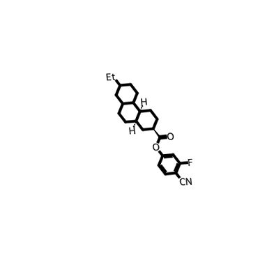 CCC1CCC2C(CC[C@@H]3C[C@H](C(=O)Oc4ccc(C#N)c(F)c4)CC[C@H]23)C1